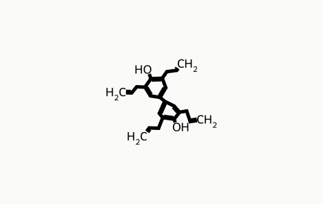 C=CCc1cc(-c2cc(CC=C)c(O)c(CC=C)c2)cc(CC=C)c1O